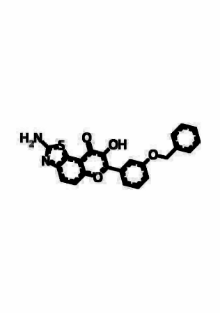 Nc1nc2ccc3oc(-c4cccc(OCc5ccccc5)c4)c(O)c(=O)c3c2s1